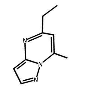 CCc1cc(C)n2nccc2n1